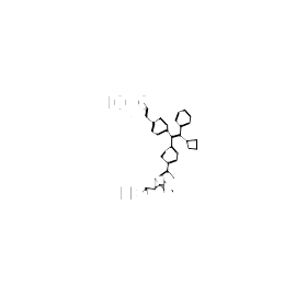 O=C(O)C=Cc1ccc(/C(=C(\c2ccccc2)C2CCC2)c2ccc(-c3cnn(CCO)c3)cc2)cc1